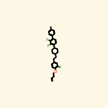 C=CCCOc1ccc(CCC2CCC(c3ccc(-c4ccc(C)cc4)c(F)c3F)CC2)cc1F